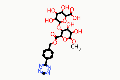 COC1OC(C(=O)OCc2ccc(-c3nncnn3)cc2)C(OC2OC(C(=O)O)C(O)C(O)C2O)C(O)C1O